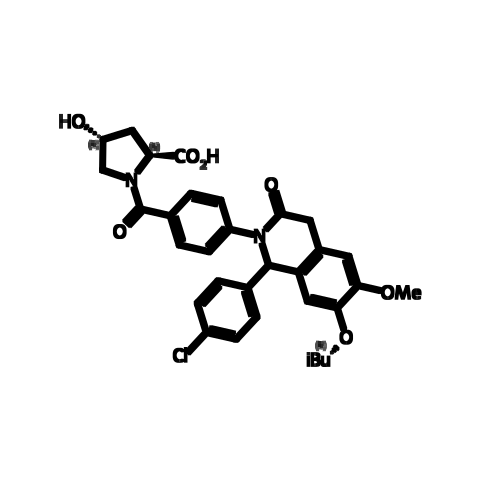 CC[C@@H](C)Oc1cc2c(cc1OC)CC(=O)N(c1ccc(C(=O)N3C[C@H](O)C[C@H]3C(=O)O)cc1)C2c1ccc(Cl)cc1